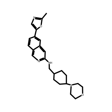 Cc1ncc(-c2ccc3cnc(NCC4CCC(N5CCOCC5)CC4)cc3c2)o1